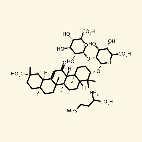 CC1(C)[C@@H](O[C@H]2O[C@H](C(=O)O)[C@@H](O)[C@H](O)[C@H]2O[C@@H]2O[C@H](C(=O)O)[C@@H](O)[C@H](O)[C@H]2O)CC[C@]2(C)[C@H]3C(=O)C=C4[C@@H]5C[C@@](C)(C(=O)O)CC[C@]5(C)CC[C@@]4(C)[C@]3(C)CC[C@@H]12.CSCCC(N)C(=O)O